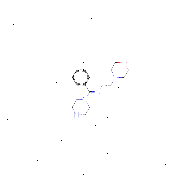 O=CN1CCN(/C(=N/CCN2CCOCC2)c2ccccc2)CC1